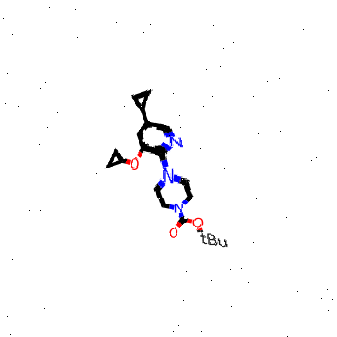 CC(C)(C)OC(=O)N1CCN(c2ncc(C3CC3)cc2OC2CC2)CC1